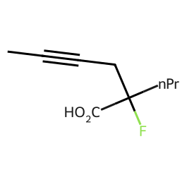 CC#CCC(F)(CCC)C(=O)O